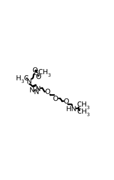 CC(C)NCCOCCOCCOCCn1cc(CN(C)CCS(C)(=O)=O)nn1